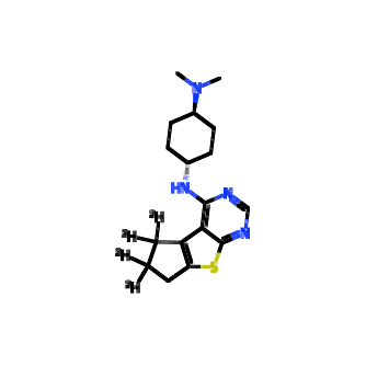 [2H]C1([2H])Cc2sc3ncnc(N[C@H]4CC[C@H](N(C)C)CC4)c3c2C1([2H])[2H]